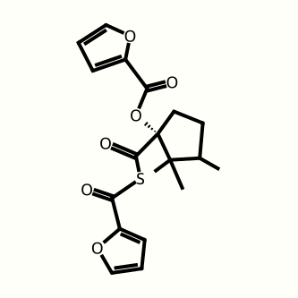 CC1CC[C@](OC(=O)c2ccco2)(C(=O)SC(=O)c2ccco2)C1(C)C